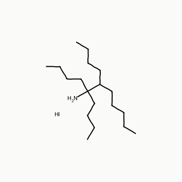 CCCCCC(CCCC)C(N)(CCCC)CCCC.I